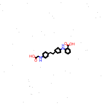 O=C(O)CNc1ccc(CCc2ccc(Nc3ccccc3C(=O)O)cc2)cc1